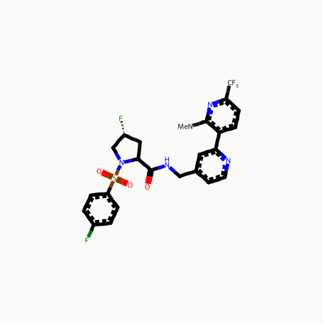 CNc1nc(C(F)(F)F)ccc1-c1cc(CNC(=O)C2C[C@@H](F)CN2S(=O)(=O)c2ccc(F)cc2)ccn1